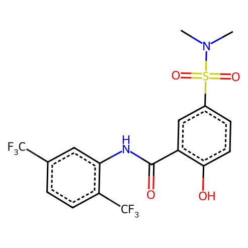 CN(C)S(=O)(=O)c1ccc(O)c(C(=O)Nc2cc(C(F)(F)F)ccc2C(F)(F)F)c1